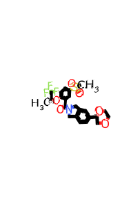 C[C@H](Oc1ccc(S(C)(=O)=O)cc1C(=O)N1Cc2ccc(C3COCCO3)cc2C1)C(F)(F)F